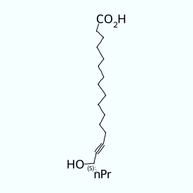 CCC[C@H](O)C#CCCCCCCCCCCCCC(=O)O